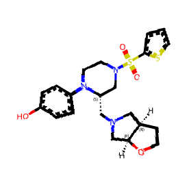 O=S(=O)(c1cccs1)N1CCN(c2ccc(O)cc2)[C@@H](CN2C[C@H]3CCO[C@H]3C2)C1